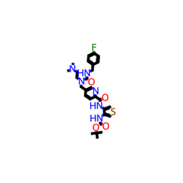 CN(C)CCN(Cc1ccc(C(=O)Nc2cscc2NC(=O)OC(C)(C)C)nc1)C(=O)NCc1ccc(F)cc1